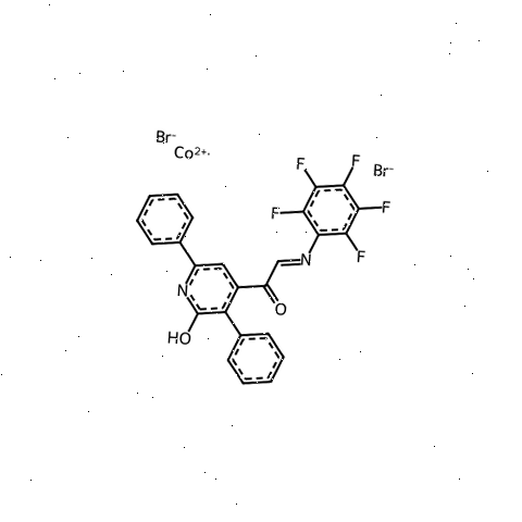 O=C(C=Nc1c(F)c(F)c(F)c(F)c1F)c1cc(-c2ccccc2)nc(O)c1-c1ccccc1.[Br-].[Br-].[Co+2]